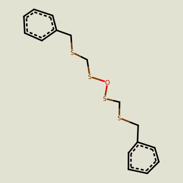 c1ccc(CSCSOSCSCc2ccccc2)cc1